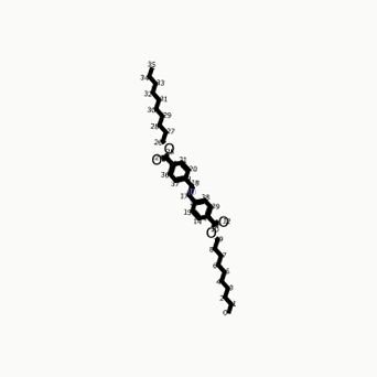 CCCCCCCCCCOC(=O)c1ccc(/C=C/c2ccc(C(=O)OCCCCCCCCCC)cc2)cc1